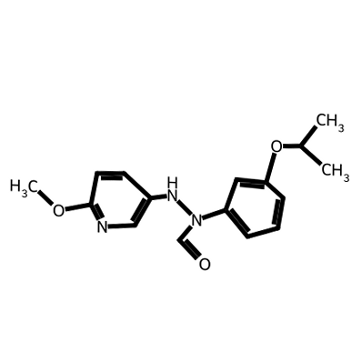 COc1ccc(NN(C=O)c2cccc(OC(C)C)c2)cn1